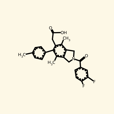 Cc1ccc(-c2c(C)c3c(c(C)c2CC(=O)O)CN(C(=O)c2ccc(F)c(F)c2)C3)cc1